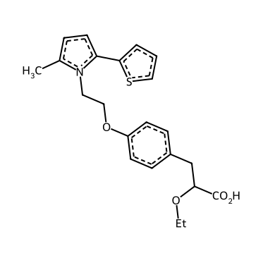 CCOC(Cc1ccc(OCCn2c(C)ccc2-c2cccs2)cc1)C(=O)O